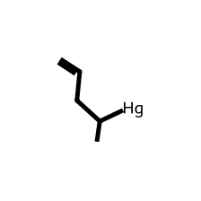 C=CC[CH](C)[Hg]